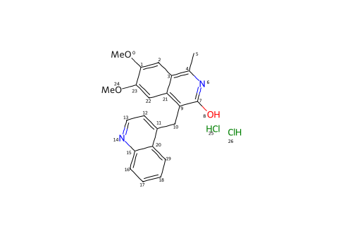 COc1cc2c(C)nc(O)c(Cc3ccnc4ccccc34)c2cc1OC.Cl.Cl